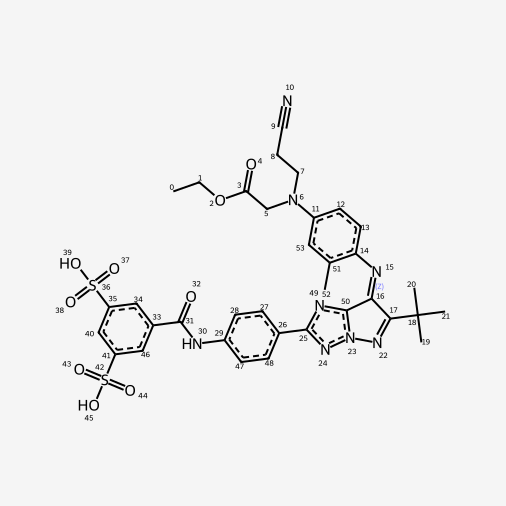 CCOC(=O)CN(CCC#N)c1ccc(/N=C2/C(C(C)(C)C)=Nn3nc(-c4ccc(NC(=O)c5cc(S(=O)(=O)O)cc(S(=O)(=O)O)c5)cc4)nc32)c(C)c1